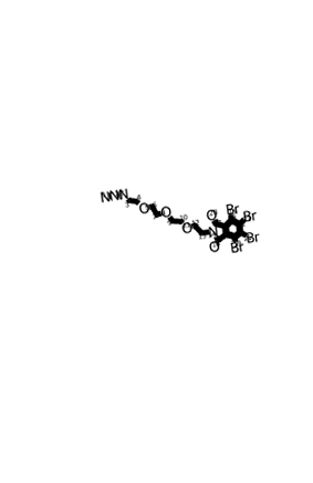 [N-]=[N+]=NCCOCCOCCOCCN1C(=O)c2c(Br)c(Br)c(Br)c(Br)c2C1=O